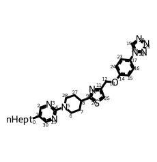 CCCCCCCc1cnc(N2CCC(c3nc(COc4ccc(-n5cnnn5)cc4)cs3)CC2)nc1